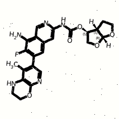 Cc1c(-c2cc3cc(NC(=O)O[C@@H]4CO[C@H]5OCC[C@H]54)ncc3c(N)c2F)cnc2c1NCCO2